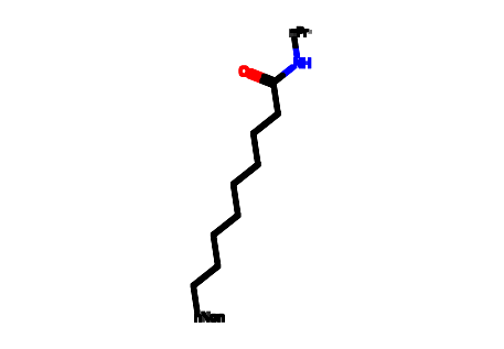 CC[CH]NC(=O)CCCCCCCCCCCCCCCCC